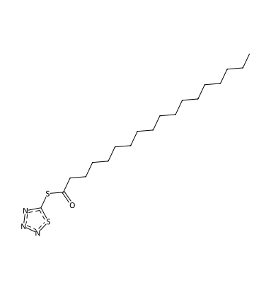 CCCCCCCCCCCCCCCCCC(=O)Sc1nnns1